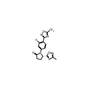 Cc1noc([C@@H]2CCC(=O)N2c2ccc(-c3noc(C(F)(F)F)n3)c(F)c2)n1